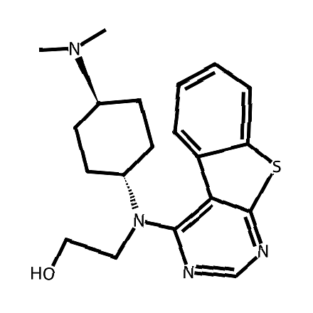 CN(C)[C@H]1CC[C@H](N(CCO)c2ncnc3sc4ccccc4c23)CC1